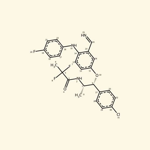 C[C@H](NC(=O)C(C)(F)F)[C@H](Oc1ccc(Nc2ccc(F)cc2)c(C=N)c1)c1ccc(Cl)cc1